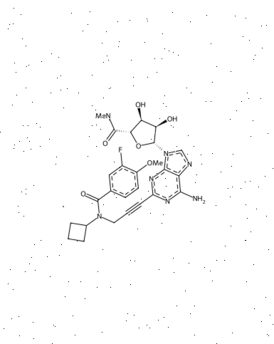 CNC(=O)[C@H]1O[C@@H](n2cnc3c(N)nc(C#CCN(C(=O)c4ccc(OC)c(F)c4)C4CCC4)nc32)[C@H](O)[C@@H]1O